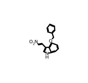 O=[N+]([O-])/C=C/c1c[nH]c2cccc(OCc3ccccc3)c12